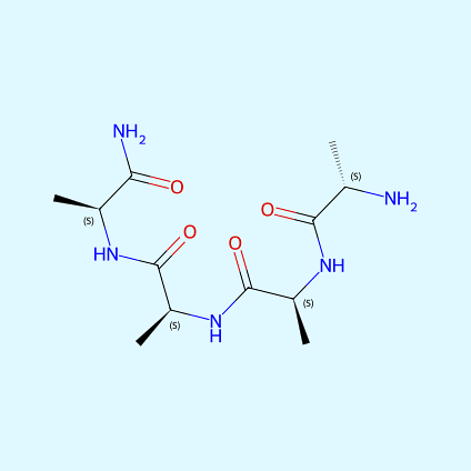 C[C@H](N)C(=O)N[C@@H](C)C(=O)N[C@@H](C)C(=O)N[C@@H](C)C(N)=O